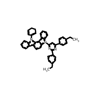 CCc1ccc(-c2cc(-n3c4ccccc4c4c5c(ccc43)c3ccccc3n5C3=CCCC=C3)nc(-c3ccc(CC)cc3)n2)cc1